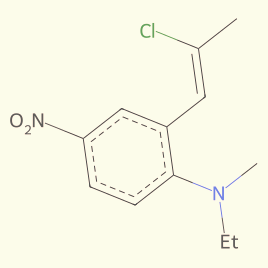 CCN(C)c1ccc([N+](=O)[O-])cc1/C=C(/C)Cl